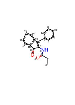 CCC(=O)NC1=C(c2ccccc2)c2ccccc2C1=O